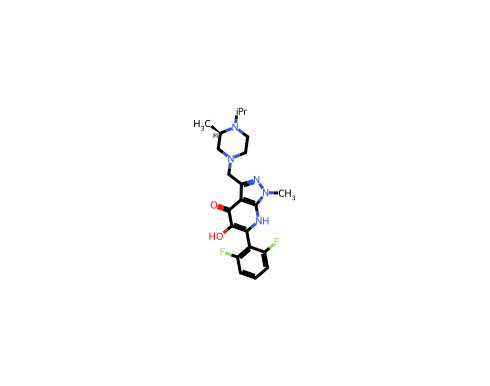 CC(C)N1CCN(Cc2nn(C)c3[nH]c(-c4c(F)cccc4F)c(O)c(=O)c23)C[C@H]1C